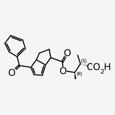 C[C@H](C(=O)O)[C@@H](C)OC(=O)C1CCC2C(C(=O)c3ccccc3)=CC=C12